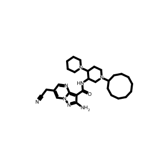 N#CCc1cnc2c(C(=O)NC3CN(C4CCCCCCCCC4)CCC3N3CCCCC3)c(N)nn2c1